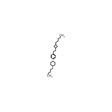 CCCCCC1CC(CCc2ccc([C@H]3CC[C@H](CCCCC)CC3)cc2)C1